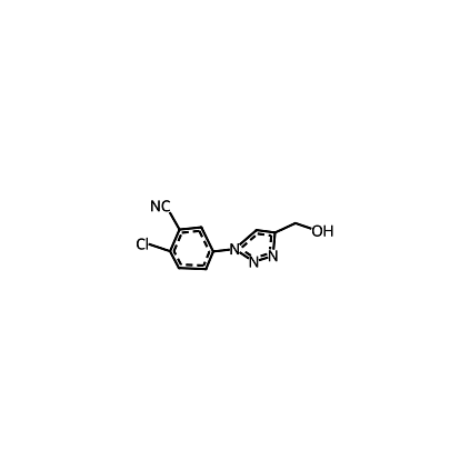 N#Cc1cc(-n2cc(CO)nn2)ccc1Cl